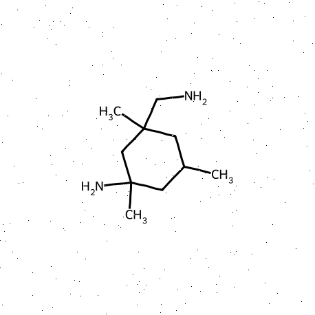 CC1CC(C)(N)CC(C)(CN)C1